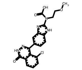 COCCN(C(=O)O)c1nc2cc(-c3n[nH]c(=O)c4cccc(Cl)c34)ccc2[nH]1